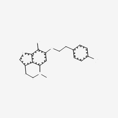 CC(=O)Oc1ccc(CCNc2cc3c4c(c[nH]c4c2OC(C)=O)CCN3C)cc1